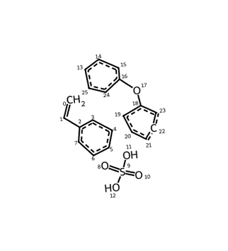 C=Cc1ccccc1.O=S(=O)(O)O.c1ccc(Oc2ccccc2)cc1